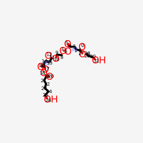 O=C(/C=C/C(=O)OOCCOC(=O)/C=C/C(=O)OOC(=O)CCCCCO)OCCCO